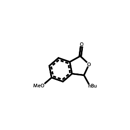 CCCCC1OC(=O)c2ccc(OC)cc21